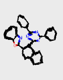 c1ccc(-c2nc(-c3ccccc3)nc(-c3c(-c4nc5ccccc5o4)ccc4ccccc34)n2)cc1